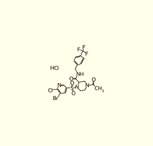 CC(=O)N1CCN(S(=O)(=O)c2cnc(Cl)c(Br)c2)C(C(=O)NCc2ccc(C(F)(F)F)cc2)C1.Cl